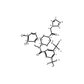 CN(C(=O)c1cc(C(F)(F)F)cc(C(F)(F)F)c1)[C@@H]1CCN(C(=O)Cn2cnnn2)C[C@H]1c1ccc(Cl)c(Cl)c1